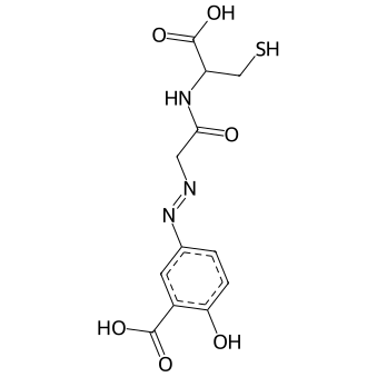 O=C(C/N=N/c1ccc(O)c(C(=O)O)c1)NC(CS)C(=O)O